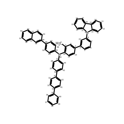 Cc1cc(-c2cccc(-n3c4ccccc4c4ccccc43)c2)ccc1N(c1ccc(-c2ccc(-c3ccccc3)cc2)cc1)c1ccc(-c2ccc3ccccc3c2)cc1